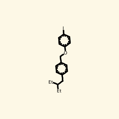 CCC(CC)Cc1ccc(COc2ccc(I)cc2)cc1